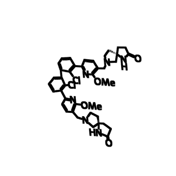 COc1nc(-c2cccc(-c3cccc(-c4ccc(CN5CC[C@]6(CCC(=O)N6)C5)c(OC)n4)c3Cl)c2Cl)ccc1CN1CC[C@@]2(CCC(=O)N2)C1